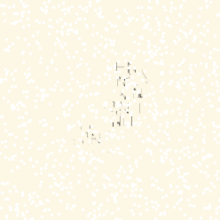 COC(=O)N1CCCC1CNC(=O)Nc1cnc2[nH]ccc2n1